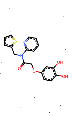 O=C(COc1ccc(O)c(O)c1)N(Cc1cccs1)c1ccccn1